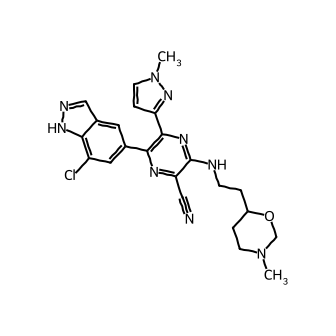 CN1CCC(CCNc2nc(-c3ccn(C)n3)c(-c3cc(Cl)c4[nH]ncc4c3)nc2C#N)OC1